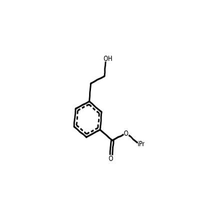 CC(C)OC(=O)c1cccc(CCO)c1